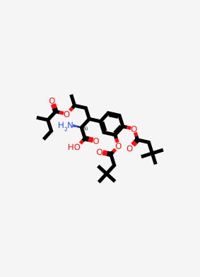 CCC(C)C(=O)OC(C)CC(c1ccc(OC(=O)CC(C)(C)C)c(OC(=O)CC(C)(C)C)c1)[C@H](N)C(=O)O